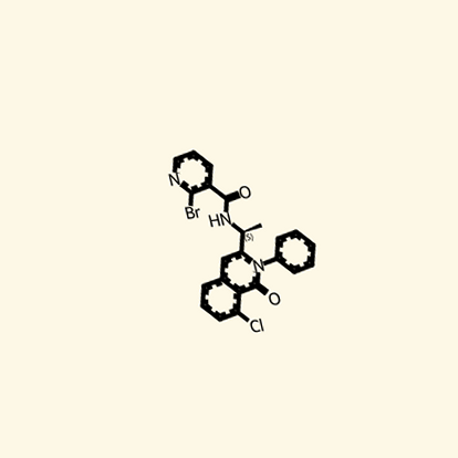 C[C@H](NC(=O)c1cccnc1Br)c1cc2cccc(Cl)c2c(=O)n1-c1ccccc1